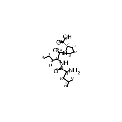 CC[C@H](C)[C@H](NC(=O)[C@@H](N)CC(C)C)C(=O)N1CCC[C@H]1C(=O)O